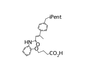 CCCC(C)Cc1ccc(/C(C)=C/C(=O)Nc2ccccc2OCCCC(=O)O)cc1